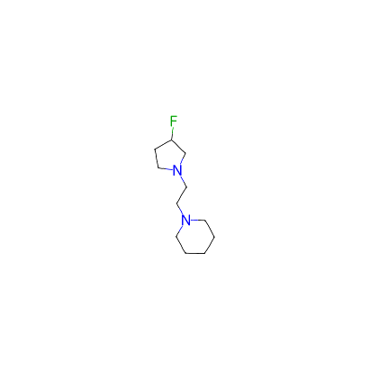 FC1CCN(CCN2CCCCC2)C1